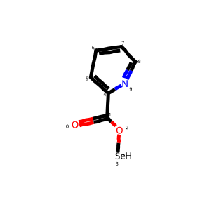 O=C(O[SeH])c1ccccn1